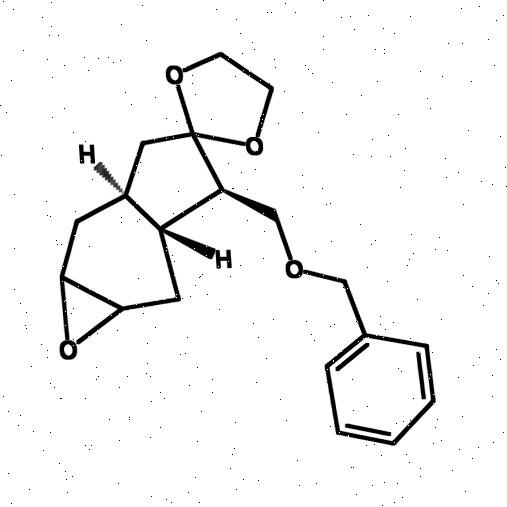 c1ccc(COC[C@H]2[C@@H]3CC4OC4C[C@H]3CC23OCCO3)cc1